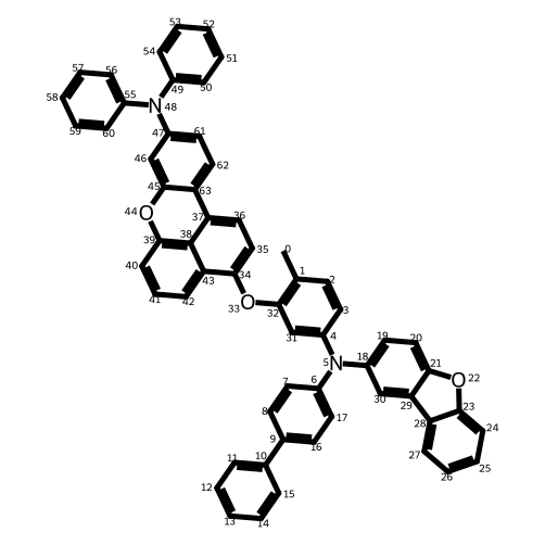 Cc1ccc(N(c2ccc(-c3ccccc3)cc2)c2ccc3oc4ccccc4c3c2)cc1Oc1ccc2c3c(cccc13)Oc1cc(N(c3ccccc3)c3ccccc3)ccc1-2